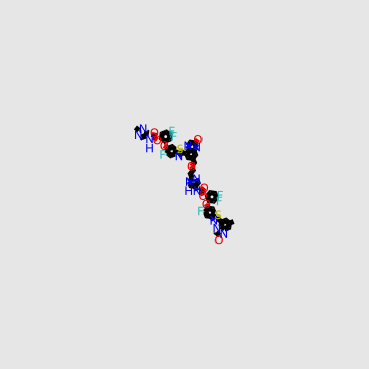 COc1cnc2c(-c3nc4cc(F)c(O[C@H]5CC(F)(F)CC[C@H]5OC(=O)Nc5cnc(CCOCc6cc(-c7nc8cc(F)c(O[C@H]9CC(F)(F)CC[C@H]9OC(=O)Nc9cnc(C)nc9)cc8s7)c7ncc(OC)nc7c6)nc5)cc4s3)cc(C)cc2n1